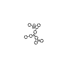 c1ccc(-c2ccc(N(c3ccc(-c4cc5ccccc5c5oc(-c6ccccc6)nc45)cc3)c3ccc4c(c3)c3ccccc3n4-c3ccccc3)cc2)cc1